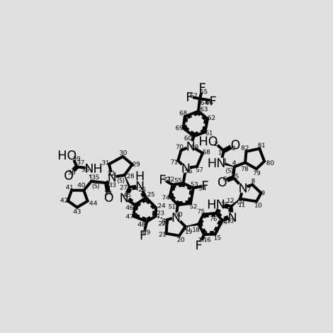 O=C(O)N[C@H](C(=O)N1CCC[C@H]1c1nc2cc(F)c([C@H]3CC[C@H](c4cc5[nH]c([C@@H]6CCCN6C(=O)[C@@H](NC(=O)O)C6CCCC6)nc5cc4F)N3c3cc(F)c(N4CCN(c5ccc(C(F)(F)F)cc5)CC4)c(F)c3)cc2[nH]1)C1CCCC1